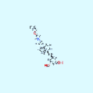 CC(CN1CC(OCC(F)(F)F)C1)[C@H]1CC[C@H]2C(=CC=C3C[C@@H](O)C[C@H](O)C3)CCC[C@]12C